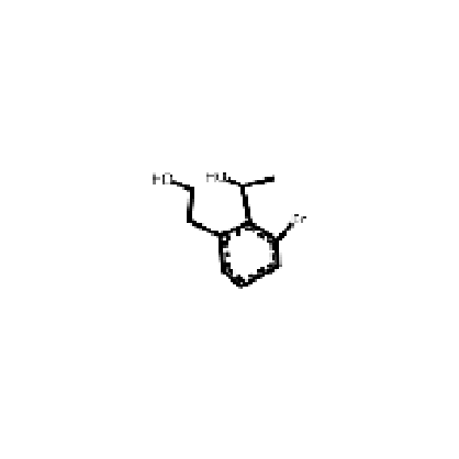 CC(O)c1c(Br)cccc1CCO